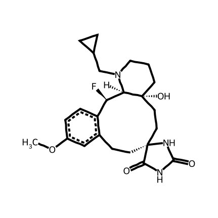 COc1ccc2c(c1)CC[C@]1(CC[C@]3(O)CCCN(CC4CC4)[C@@H]3[C@@H]2F)NC(=O)NC1=O